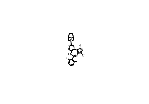 Fc1cccc(F)c1C1=Nc2c(Cl)n[nH]c2-c2cc(N3CC4CCC(C3)O4)ncc2N1